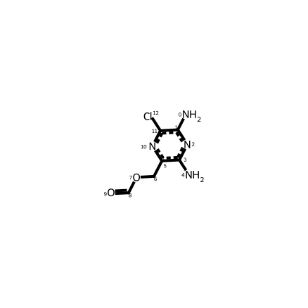 Nc1nc(N)c(COC=O)nc1Cl